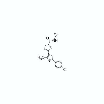 Cc1nc(-c2ccc(Cl)cc2)cn1C1=CCC(C(=O)NC2CC2)S1